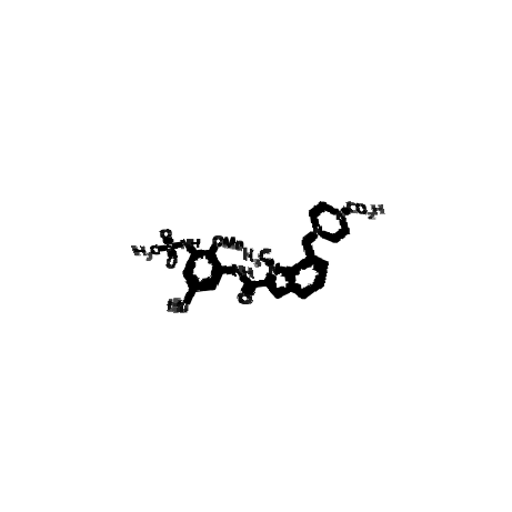 COc1c(NC(=O)c2cc3cccc(CN4CCN(C(=O)O)CC4)c3n2C)cc(C(C)(C)C)cc1NS(C)(=O)=O